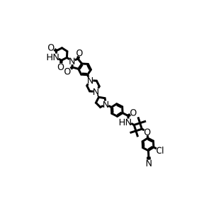 CC1(C)C(NC(=O)c2ccc(N3CC[C@@H](N4CCN(c5ccc6c(c5)C(=O)N(C5CCC(=O)NC5=O)C6=O)CC4)C3)cc2)C(C)(C)C1Oc1ccc(C#N)c(Cl)c1